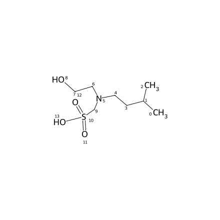 CC(C)CCN(CCO)CS(=O)(=O)O